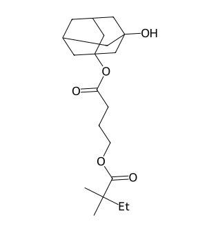 CCC(C)(C)C(=O)OCCCC(=O)OC12CC3CC(CC(O)(C3)C1)C2